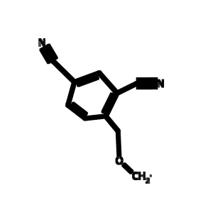 [CH2]OCc1ccc(C#N)cc1C#N